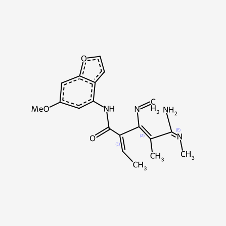 C=NC(=C(C)\C(N)=N/C)/C(=C\C)C(=O)Nc1cc(OC)cc2occc12